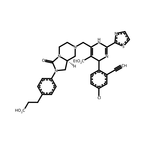 C#Cc1cc(Cl)ccc1C1N=C(c2nccs2)NC(CN2CCN3C(=O)N(c4ccc(CCC(=O)O)cc4)C[C@@H]3C2)=C1C(=O)OCC